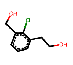 OCCc1cccc(CO)c1Cl